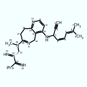 C#CC(/C=C\C=C(C)C)Nc1ccnc2c1CN=C(N(C)C[S@@](=N)C(=N)C(C)C)CC2